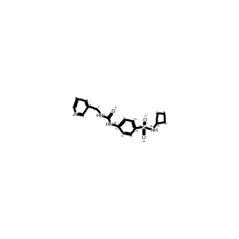 O=C(NCc1cccnc1)Nc1ccc(S(=O)(=O)NC2CCC2)cc1